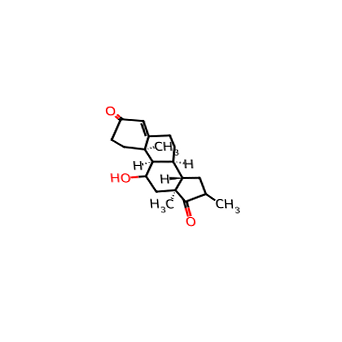 CC1C[C@H]2[C@@H]3CCC4=CC(=O)CC[C@]4(C)[C@@H]3C(O)C[C@]2(C)C1=O